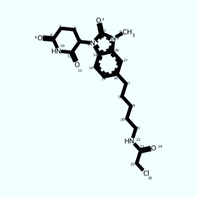 Cn1c(=O)n(C2CCC(=O)NC2=O)c2ccc(CCCCCNC(=O)CCl)cc21